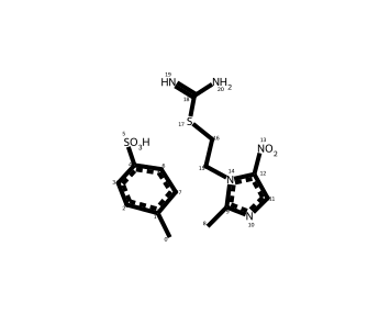 Cc1ccc(S(=O)(=O)O)cc1.Cc1ncc([N+](=O)[O-])n1CCSC(=N)N